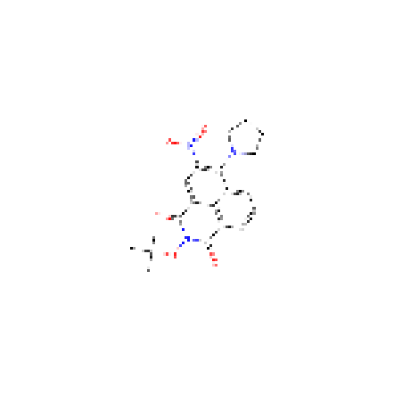 CC(C)(C)ON1C(=O)c2cccc3c(N4CCCC4)c([N+](=O)[O-])cc(c23)C1=O